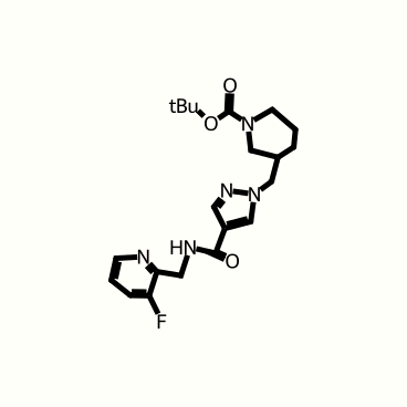 CC(C)(C)OC(=O)N1CCCC(Cn2cc(C(=O)NCc3ncccc3F)cn2)C1